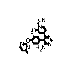 Cc1ccnc(Oc2ccc(-c3c(N)ncnc3-c3ccn(CC#N)c(=O)c3)cc2F)n1